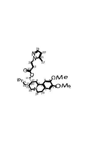 COc1cc2c(cc1OC)C1C[C@@H](COC(=O)CCn3nccc3C)[C@H](CC(C)C)CN1CC2